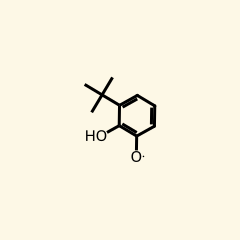 CC(C)(C)c1cccc([O])c1O